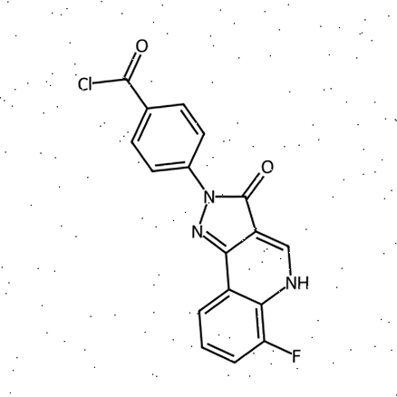 O=C(Cl)c1ccc(-n2nc3c4cccc(F)c4[nH]cc-3c2=O)cc1